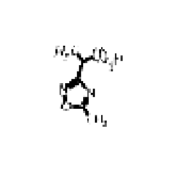 Cc1nc(C(C)C(=O)O)no1